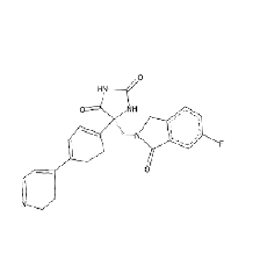 O=C1NC(=O)[C@](CN2Cc3ccc(F)cc3C2=O)(C2=CC=C(C3=CC=NCC3)CC2)N1